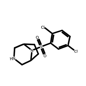 O=S(=O)(c1cc(Cl)ccc1Cl)N1C2CCC1CNC2